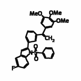 C=C(c1cccc(-c2cc3cc(F)ccc3n2S(=O)(=O)c2ccccc2)c1)c1cc(OC)c(OC)c(OC)c1